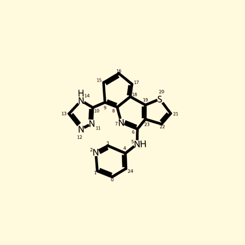 c1cncc(Nc2nc3c(-c4nnc[nH]4)cccc3c3sccc23)c1